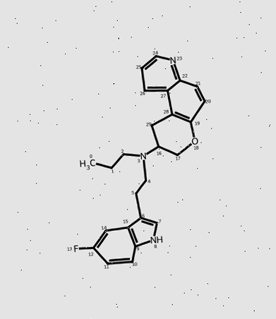 CCCN(CCc1c[nH]c2ccc(F)cc12)C1COc2ccc3ncccc3c2C1